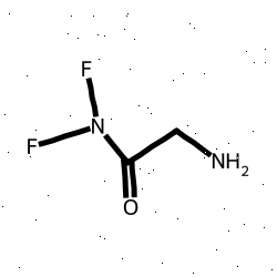 NCC(=O)N(F)F